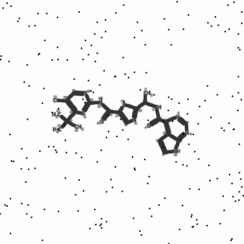 CC(NC(=O)c1ncnc2[nH]ccc12)c1ncc(C(=O)Nc2ncc(Cl)c(C(C)(C)C)n2)s1